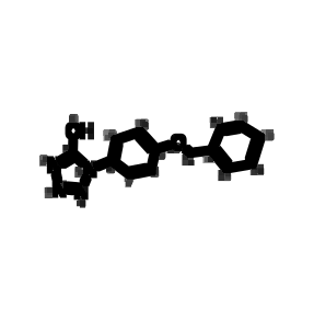 Oc1nnnn1-c1ccc(OCc2ccccc2)cc1